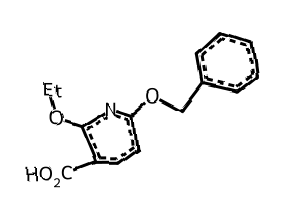 CCOc1nc(OCc2ccccc2)ccc1C(=O)O